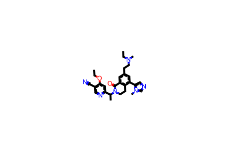 CCOc1cc(C(C)N2CCc3c(cc(CCN(C)CC)cc3-c3cncn3C)C2=O)ncc1C#N